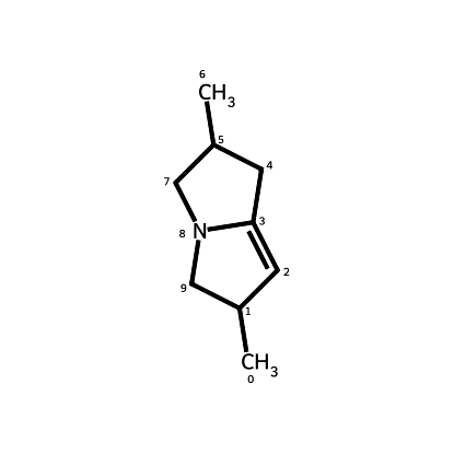 CC1C=C2CC(C)CN2C1